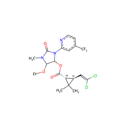 CCOC1C(OC(=O)[C@@H]2[C@@H](C=C(Cl)Cl)C2(C)C)N(c2cc(C(F)(F)F)ccn2)C(=O)N1C